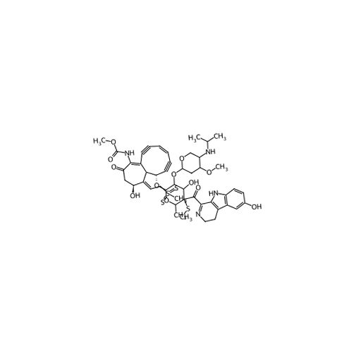 COC(=O)NC1=C2C#C/C=C\C#C[C@H](OC3OC(C)C(SC)(C(=O)C4=NCCc5c4[nH]c4ccc(O)cc54)C(O)C3OC3CC(OC)C(NC(C)C)CO3)C2/C(=C\CS(C)(=S)=S)[C@@H](O)CC1=O